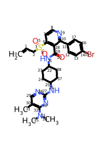 C=CCS(=O)(=O)c1ccnc(-c2ccc(Br)cc2)c1C(=O)NC1CCC(Nc2ncc(C)c(N(C)C)n2)CC1